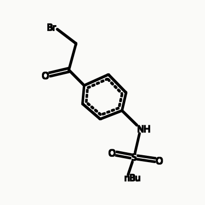 CCCCS(=O)(=O)Nc1ccc(C(=O)CBr)cc1